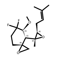 CO[C@H]1[C@H]([C@@]2(C)O[C@@H]2CC=C(C)C)[C@]2(CCC1(F)F)CO2